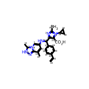 Bc1nc(C(NC2=CN3C(=NNC3C)C(C)=C2)c2ccc(C=C)cc2)c(C(=O)O)n1C1CC1